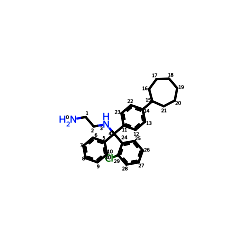 NCCNC(c1ccccc1)(c1ccc(C2CCCCCC2)cc1)c1ccccc1Cl